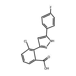 O=C(O)c1cccc(Cl)c1-c1cc(-c2ccc(F)cc2)[nH]n1